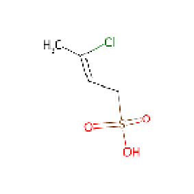 CC(Cl)=CCS(=O)(=O)O